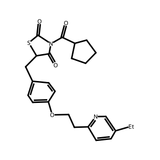 CCc1ccc(CCOc2ccc(CC3SC(=O)N(C(=O)C4CCCC4)C3=O)cc2)nc1